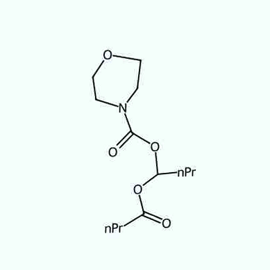 CCCC(=O)OC(CCC)OC(=O)N1CCOCC1